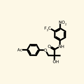 CC(=O)c1ccc(OCC(C)(O)C(=O)Nc2ccc([N+](=O)[O-])c(C(F)(F)F)c2)cc1